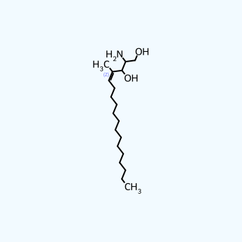 CCCCCCCCCCCCC/C=C(/C)C(O)C(N)CO